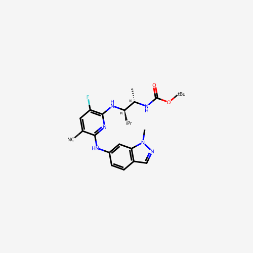 CC(C)[C@@H](Nc1nc(Nc2ccc3cnn(C)c3c2)c(C#N)cc1F)[C@H](C)NC(=O)OC(C)(C)C